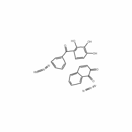 O=C(c1ccccc1)c1ccc(O)c(O)c1O.O=C1C=Cc2ccccc2C1=O.[N-]=[N+]=N.[N-]=[N+]=[N-]